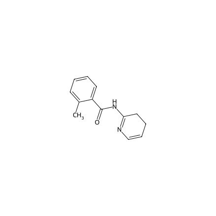 Cc1ccccc1C(=O)NC1=NC=CCC1